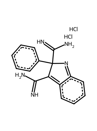 Cl.Cl.N=C(N)C1=c2ccccc2=NC1(C(=N)N)c1ccccc1